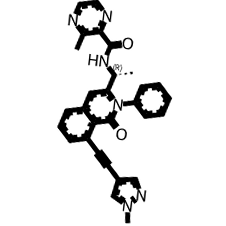 Cc1nccnc1C(=O)N[C@H](C)c1cc2cccc(C#Cc3cnn(C)c3)c2c(=O)n1-c1ccccc1